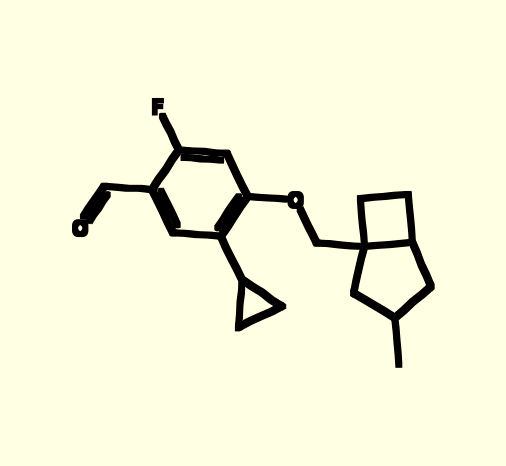 CC1CC2CCC2(COc2cc(F)c(C=O)cc2C2CC2)C1